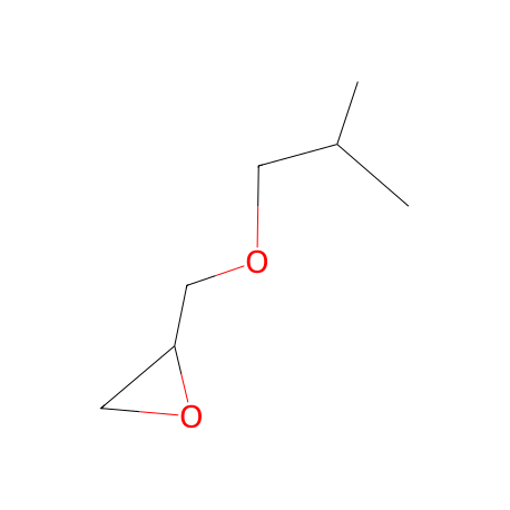 CC(C)COCC1CO1